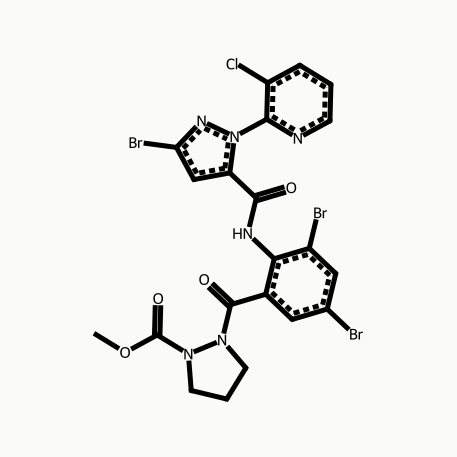 COC(=O)N1CCCN1C(=O)c1cc(Br)cc(Br)c1NC(=O)c1cc(Br)nn1-c1ncccc1Cl